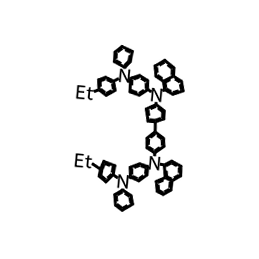 CCc1ccc(N(c2ccccc2)c2ccc(N(c3ccc(-c4ccc(N(c5ccc(N(c6ccccc6)c6ccc(CC)cc6)cc5)c5cccc6ccccc56)cc4)cc3)c3cccc4ccccc34)cc2)cc1